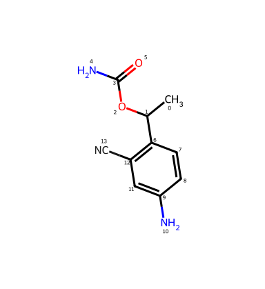 CC(OC(N)=O)c1ccc(N)cc1C#N